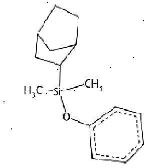 C[Si](C)(Oc1ccccc1)C1CC2CCC1C2